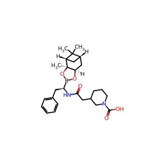 CC1(C)[C@@H]2C[C@H]3OB([C@H](Cc4ccccc4)NC(=O)CC4CCCN(C(=O)O)C4)O[C@@]3(C)[C@H]1C2